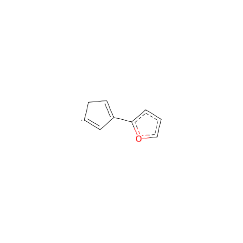 [C]1=CC(c2ccco2)=CC1